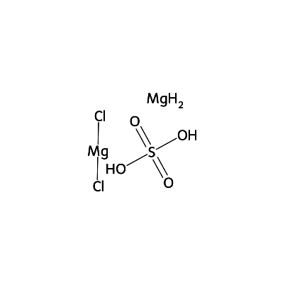 O=S(=O)(O)O.[Cl][Mg][Cl].[MgH2]